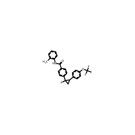 Cc1ccccc1NC(=O)c1ccc(C2(F)CC2c2ccc(OC(F)(F)F)cc2)cc1